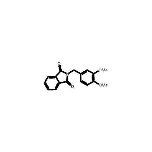 COc1ccc(CN2C(=O)c3ccccc3C2=O)cc1OC